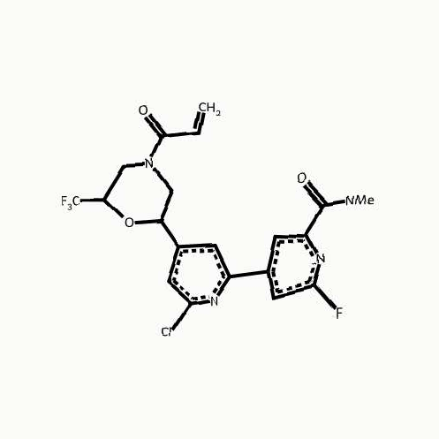 C=CC(=O)N1CC(c2cc(Cl)nc(-c3cc(F)nc(C(=O)NC)c3)c2)OC(C(F)(F)F)C1